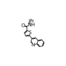 CC(C)NC(=O)c1ccc(-c2cnc3ccccc3c2)s1